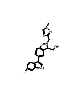 Cn1cnc(CN2Sc3ccc(-c4c[nH]c5cc(F)ccc45)cc3C2CO)n1